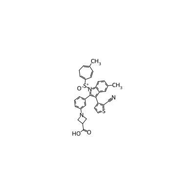 CC1=CCC=C([S+]([O-])n2c(-c3cccc(N4CC(C(=O)O)C4)c3)c(-c3ccsc3C#N)c3cc(C)ccc32)C=C1